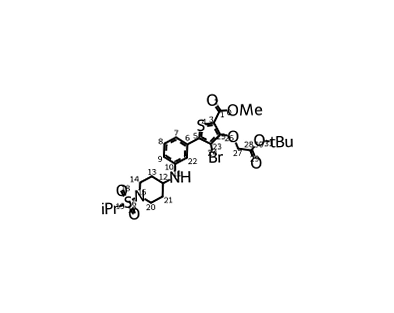 COC(=O)c1sc(-c2cccc(NC3CCN(S(=O)(=O)C(C)C)CC3)c2)c(Br)c1OCC(=O)OC(C)(C)C